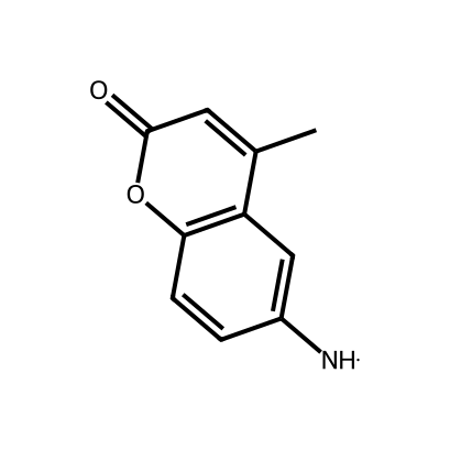 Cc1cc(=O)oc2ccc([NH])cc12